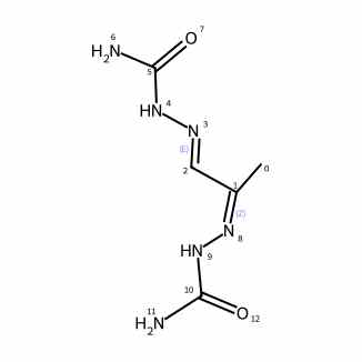 CC(/C=N/NC(N)=O)=N/NC(N)=O